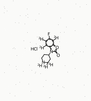 Cl.[2H]c1c(F)c([2H])c2oc(=O)n(C3CCN([2H])C([2H])([2H])C3)c2c1[2H]